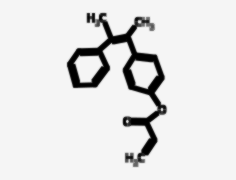 C=CC(=O)Oc1ccc(C(C)=C(C)c2ccccc2)cc1